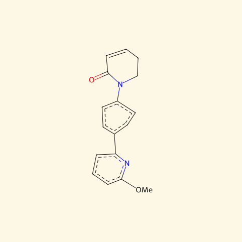 COc1cccc(-c2ccc(N3CCC=CC3=O)cc2)n1